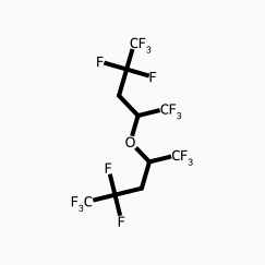 FC(F)(F)C(CC(F)(F)C(F)(F)F)OC(CC(F)(F)C(F)(F)F)C(F)(F)F